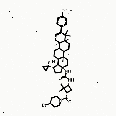 CCC1CCN(C(=O)[C@H]2C[C@@H](NC(=O)N[C@]34CC[C@@H](C5(C)CC5)C3[C@H]3CCC5[C@@]6(C)CC=C(c7ccc(C(=O)O)cc7)C(C)(C)[C@@H]6CC[C@@]5(C)[C@]3(C)CC4)C2(C)C)CC1